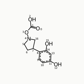 O=C(O)ON1CCC(c2ccc(O)cc2O)C1